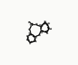 CN1Cc2ccccc2Cc2ccccc2C1